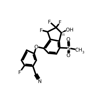 CS(=O)(=O)c1ccc(Oc2ccc(F)c(C#N)c2)c2c1[C@H](O)C(F)(F)C2F